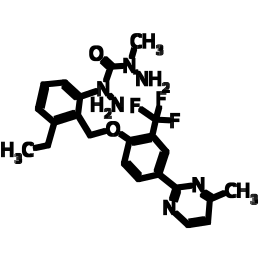 CCc1cccc(N(N)C(=O)N(C)N)c1COc1ccc(-c2nccc(C)n2)cc1C(F)(F)F